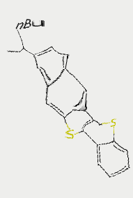 CCCCC(C)c1ccc2cc3c(cc2c1)sc1c2ccccc2sc31